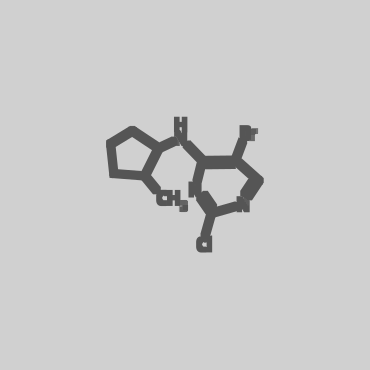 CC1CCCC1Nc1nc(Cl)ncc1Br